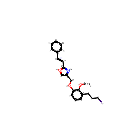 COc1c(CCCI)cccc1OCc1coc(/C=C/c2ccccc2)n1